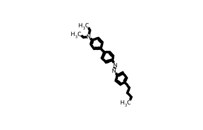 CCCCc1ccc(N=Nc2ccc(-c3ccc(N(CC)CC)cc3)cc2)cc1